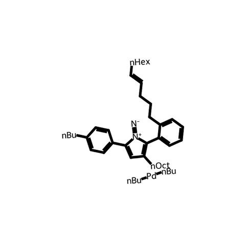 CCCCCCC=CCCCc1ccccc1C1=C(CCCCCCCC)C=C(c2ccc(CCCC)cc2)[N+]1=[N-].CCC[CH2][Pd][CH2]CCC